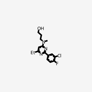 CCc1cc(N(C)CCCO)nc(-c2ccc(F)c(Cl)c2)n1